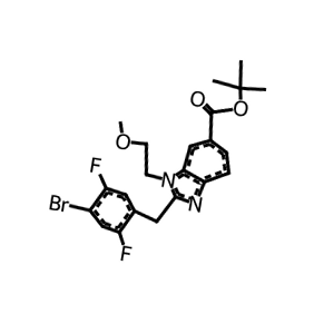 COCCn1c(Cc2cc(F)c(Br)cc2F)nc2ccc(C(=O)OC(C)(C)C)cc21